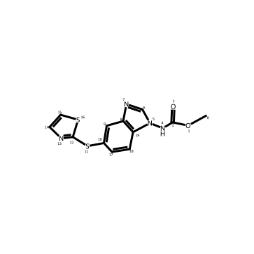 COC(=O)Nn1cnc2cc(Sc3nccs3)ccc21